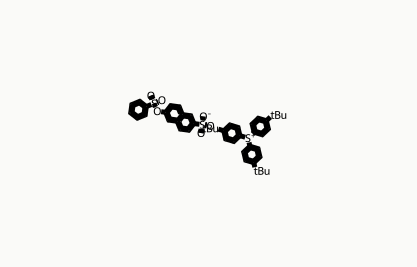 CC(C)(C)c1ccc([S+](c2ccc(C(C)(C)C)cc2)c2ccc(C(C)(C)C)cc2)cc1.O=S(=O)([O-])c1ccc2cc(OS(=O)(=O)c3ccccc3)ccc2c1